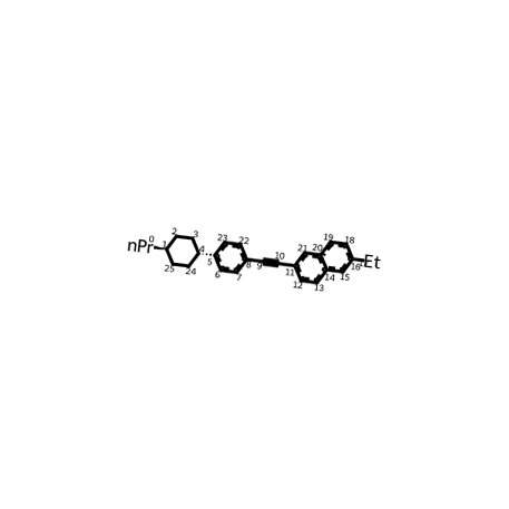 CCC[C@H]1CC[C@H](c2ccc(C#Cc3ccc4cc(CC)ccc4c3)cc2)CC1